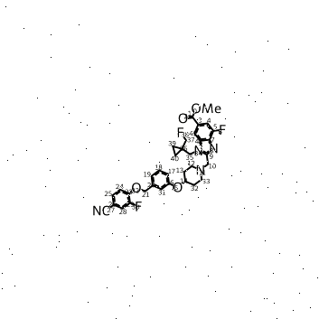 COC(=O)c1cc(F)c2nc(CN3CCC(Oc4cccc(COc5ccc(C#N)cc5F)c4)CC3)n(CC3(CF)CC3)c2c1